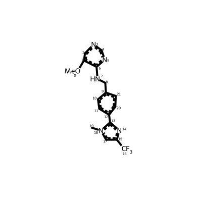 COc1cncnc1NCc1ccc(-c2nc(C(F)(F)F)cn2C)cc1